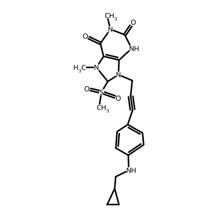 CN1c2c([nH]c(=O)n(C)c2=O)N(CC#Cc2ccc(NCC3CC3)cc2)C1S(C)(=O)=O